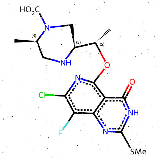 CSc1nc2c(F)c(Cl)nc(O[C@@H](C)[C@@H]3CN(C(=O)O)[C@H](C)CN3)c2c(=O)[nH]1